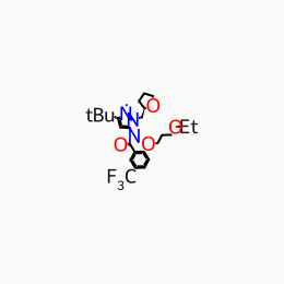 CCOCCCOc1ccc(C(F)(F)F)cc1C(=O)N=c1cc(C(C)(C)C)n(C)n1C[C@H]1CCCO1